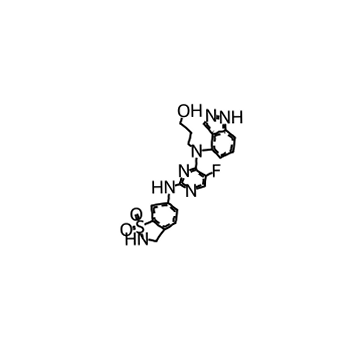 O=S1(=O)NCc2ccc(Nc3ncc(F)c(N(CCCO)c4cccc5[nH]ncc45)n3)cc21